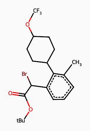 Cc1cccc(C(Br)C(=O)OC(C)(C)C)c1C1CCC(OC(F)(F)F)CC1